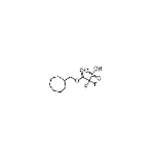 O=C(OCC1CCCCCC1)C(F)(F)S(=O)(=O)O